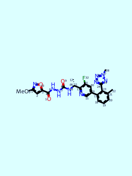 COc1cc(C(=O)NNC(=O)N[C@H](C)c2ncc(-c3cccc(C)c3-c3nnn(C)n3)cc2F)on1